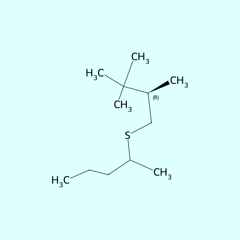 CCCC(C)SC[C@H](C)C(C)(C)C